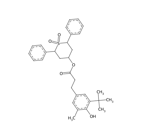 Cc1cc(CCC(=O)OC2CC(c3ccccc3)S(=O)(=O)C(c3ccccc3)C2)cc(C(C)(C)C)c1O